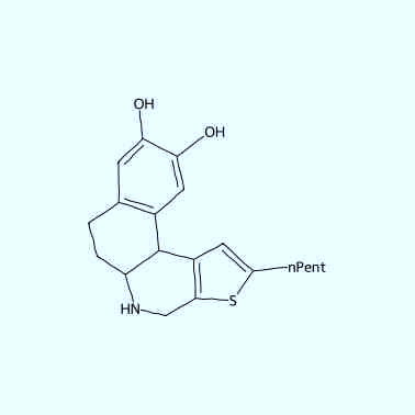 CCCCCc1cc2c(s1)CNC1CCc3cc(O)c(O)cc3C21